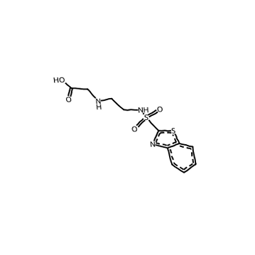 O=C(O)CNCCNS(=O)(=O)c1nc2ccccc2s1